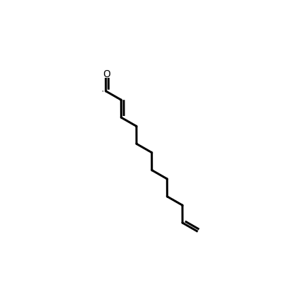 C=CCCCCCCCC=C[C]=O